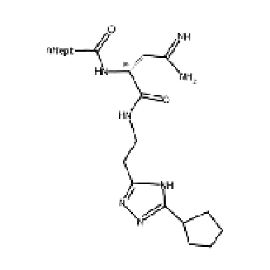 CCCCCCCC(=O)N[C@H](CC(=N)N)C(=O)NCCc1nnc(C2CCCC2)[nH]1